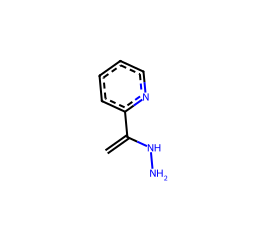 C=C(NN)c1ccccn1